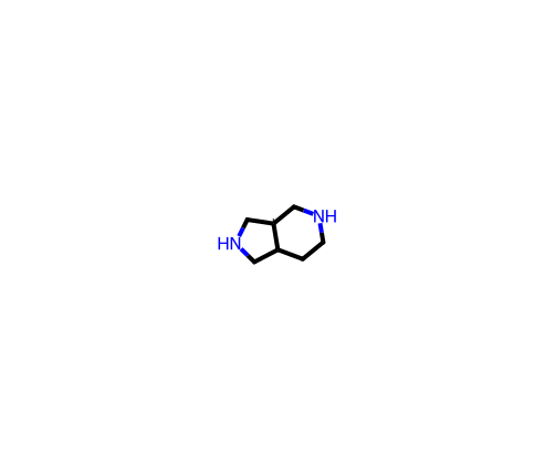 C1CC2CNC[C]2CN1